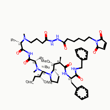 CC[C@H](C)[C@]([C@@H](CC=O)OC)(N(C)[C@H](C(=O)NC(=O)[C@H](C(C)C)N(C)CCCC(=O)NNC(=O)CCCCCN1C(=O)C=CC1=O)C(C)C)N1CCC[C@H]1[C@H](OC)[C@@H](C)C(=O)N[C@@H](Cc1ccccc1)C(=O)NCc1ccccc1